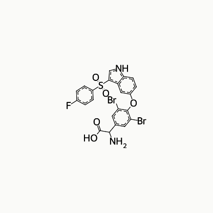 NC(C(=O)O)c1cc(Br)c(Oc2ccc3[nH]cc(S(=O)(=O)c4ccc(F)cc4)c3c2)c(Br)c1